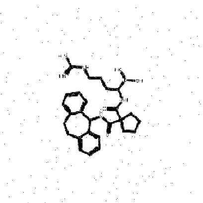 N=C(N)NCCCC(NC(=O)C1(C(=O)NC2c3ccccc3CCc3ccccc32)CCCC1)B(O)O